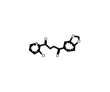 O=C(CCC(=O)c1ncccc1Cl)c1ccc2c(c1)OCO2